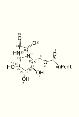 CCCCCC(=O)OC[C@@H]1[C@@H](O)[C@H](O)[C@H](O)C2NC(=O)C(=O)N21